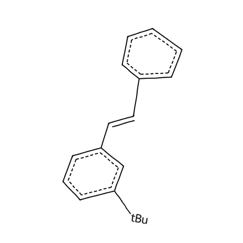 CC(C)(C)c1cccc(C=Cc2ccccc2)c1